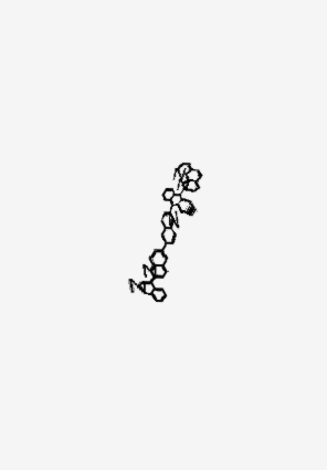 c1ccc2c(-c3ccc4cc(-c5ccc6nc(-c7c8ccccc8c(-c8ccc9ccc%10cccnc%10c9n8)c8ccccc78)ccc6c5)ccc4n3)cncc2c1